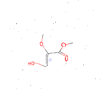 COC(=O)/C(=C/O)OC